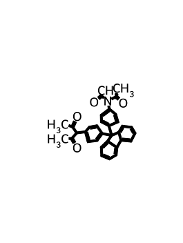 CC(=O)C(C(C)=O)c1ccc(C2(c3ccc(N(C(C)=O)C(C)=O)cc3)c3ccccc3-c3ccccc32)cc1